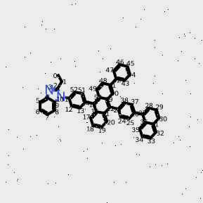 CCc1nc2ccccc2n1-c1ccc(-c2c3ccccc3c(-c3ccc(-c4cccc5ccccc45)cc3)c3cc(-c4ccccc4)ccc23)cc1